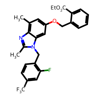 CCOC(=O)c1ccccc1COc1cc(C)c2nc(C)n(Cc3ccc(C(F)(F)F)cc3F)c2c1